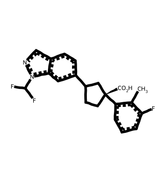 Cc1c(F)cccc1[C@]1(C(=O)O)CCC(c2ccc3cnn(C(F)F)c3c2)C1